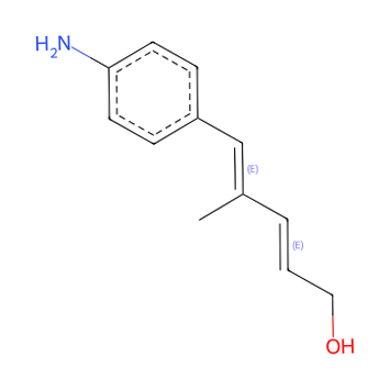 CC(/C=C/CO)=C\c1ccc(N)cc1